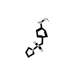 CNc1ccc(CS(=O)(=O)N2CCCC2)cc1